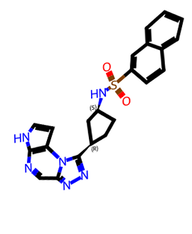 O=S(=O)(N[C@H]1CC[C@@H](c2nnc3cnc4[nH]ccc4n23)C1)c1ccc2ccccc2c1